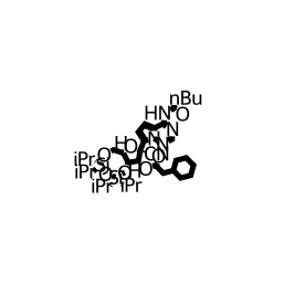 CCCCC(=O)Nc1ncnn2c([C@]3(C#N)O[C@@H]4CO[Si](C(C)C)(C(C)C)O[Si](C(C)C)(C(C)C)O[C@H]4[C@H]3OC(=O)CC3CCCCC3)ccc12